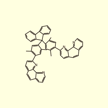 Cc1cc(C2(c3cc(C)c(-c4ccc5ccc6cccnc6c5n4)cc3C)c3ccccc3-c3ccccc32)c(C)cc1-c1ccc2ccc3cccnc3c2n1